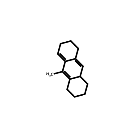 CC1=C2CCCCC2C=C2CCCC=C21